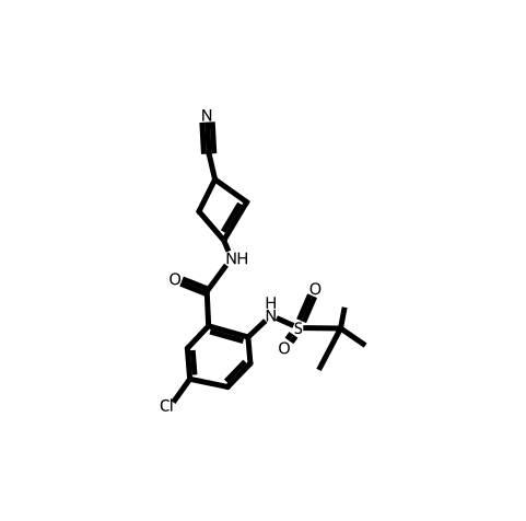 CC(C)(C)S(=O)(=O)Nc1ccc(Cl)cc1C(=O)NC1=CC(C#N)C1